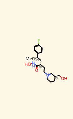 CO[C@H](C[C@H](CCN1CCC[C@H](CO)C1)C(=O)NO)c1ccc(F)cc1